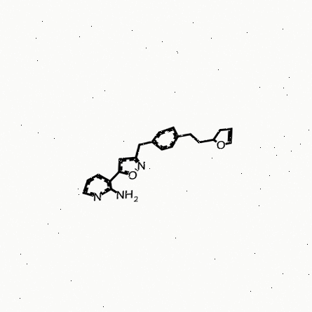 Nc1ncccc1-c1cc(Cc2ccc(CCC3CC=CO3)cc2)no1